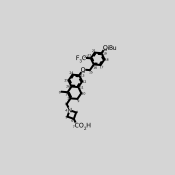 CC1=C(CN2CC(C(=O)O)C2)CCc2cc(OCc3ccc(OCC(C)C)cc3C(F)(F)F)ccc21